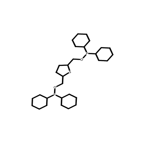 C1CCC(P(OCC2CCC(COP(C3CCCCC3)C3CCCCC3)S2)C2CCCCC2)CC1